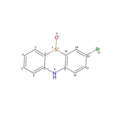 [O-][S+]1c2ccccc2Nc2ccc(Br)cc21